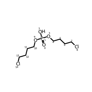 O=P(O)(OCCCCCl)OCCCCCl